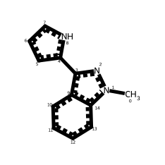 Cn1nc(-c2ccc[nH]2)c2ccccc21